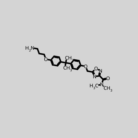 CN(C)C(=O)c1noc(COc2ccc(C(C)(C)c3ccc(OCCCN)cc3)cc2)n1